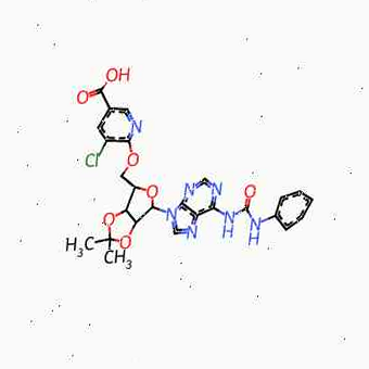 CC1(C)OC2C(COc3ncc(C(=O)O)cc3Cl)OC(n3cnc4c(NC(=O)Nc5ccccc5)ncnc43)C2O1